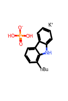 CCCCc1cccc2c1[nH]c1ccccc12.O=P([O-])(O)O.[K+]